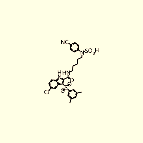 Cc1cc(C)cc(S(=O)(=O)c2c(C(=O)NCCCCCN(c3ccc(C#N)cc3)S(=O)(=O)O)[nH]c3ccc(Cl)cc23)c1